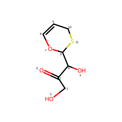 O=C(CO)C(O)C1OC=CCS1